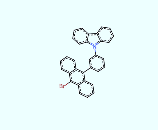 Brc1c2ccccc2c(-c2cccc(-n3c4ccccc4c4ccccc43)c2)c2ccccc12